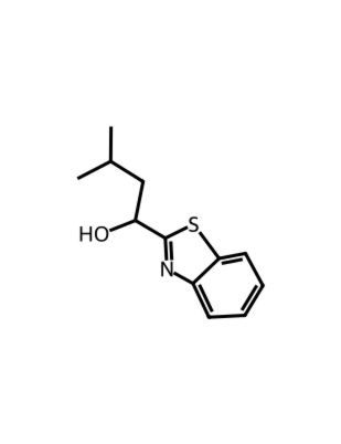 CC(C)CC(O)c1nc2ccccc2s1